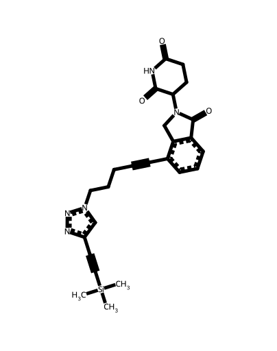 C[Si](C)(C)C#Cc1cn(CCCC#Cc2cccc3c2CN(C2CCC(=O)NC2=O)C3=O)nn1